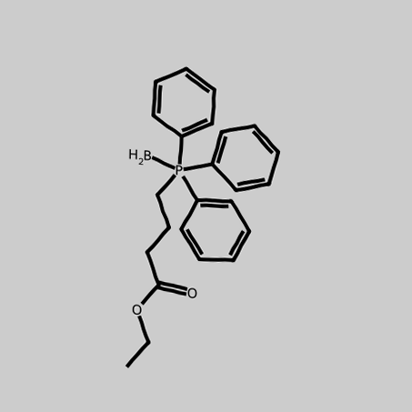 BP(CCCC(=O)OCC)(c1ccccc1)(c1ccccc1)c1ccccc1